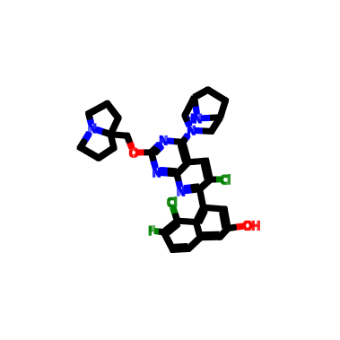 Oc1cc(-c2nc3nc(OCC45CCCN4CCC5)nc(N4CC5CCC(C4)N5)c3cc2Cl)c2c(Cl)c(F)ccc2c1